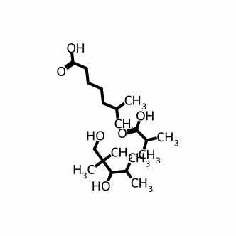 CC(C)C(=O)O.CC(C)C(O)C(C)(C)CO.CC(C)CCCCC(=O)O